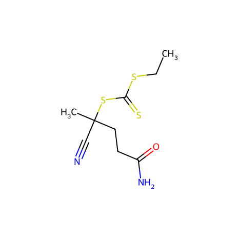 CCSC(=S)SC(C)(C#N)CCC(N)=O